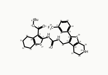 CC(C)(C)OC(=O)c1c(NC(=O)NCc2c(-c3cccc(C(F)(F)F)c3)sc3c2CCNC3)sc2c1CCCC2